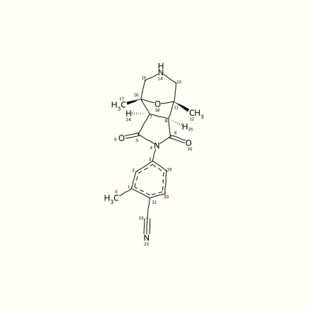 Cc1cc(N2C(=O)[C@@H]3[C@H](C2=O)[C@@]2(C)CNC[C@]3(C)O2)ccc1C#N